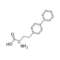 N[C@@H](CCc1ccc(-c2ccccc2)cc1)C(=O)O